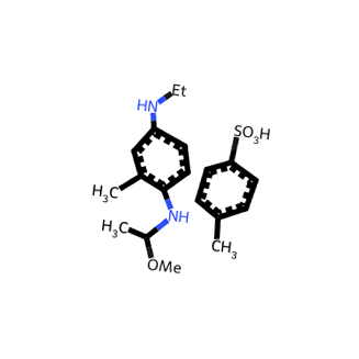 CCNc1ccc(NC(C)OC)c(C)c1.Cc1ccc(S(=O)(=O)O)cc1